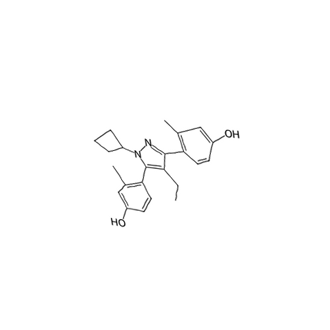 CCc1c(-c2ccc(O)cc2C)nn(C2CCC2)c1-c1ccc(O)cc1C